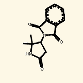 CC1(C)NC(=O)CC1N1C(=O)c2ccccc2C1=O